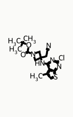 Cc1csc2nc(Cl)nc(NC3(CC#N)CN(C(=O)OC(C)(C)C)C3)c12